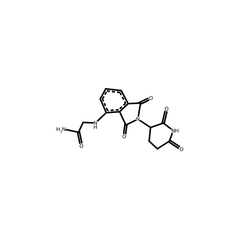 NC(=O)CNc1cccc2c1C(=O)N(C1CCC(=O)NC1=O)C2=O